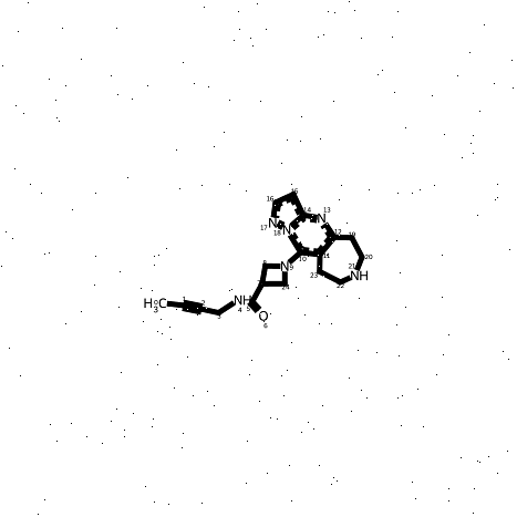 CC#CCNC(=O)C1CN(c2c3c(nc4ccnn24)CCNCC3)C1